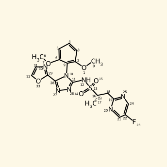 COc1cccc(OC)c1-n1c(NS(=O)(=O)[C@@H](C)Cc2ncc(F)cn2)nnc1-c1ncco1